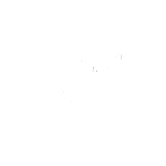 C=CC(=O)Oc1ccc(N2C(=O)CC(=C)C2=O)cc1